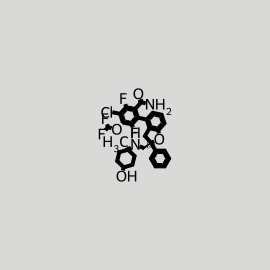 CC1(NC[C@@]2(c3ccccc3)Cc3c(cccc3-c3c(F)c(OC(F)F)c(Cl)c(F)c3C(N)=O)O2)CCC(O)CC1